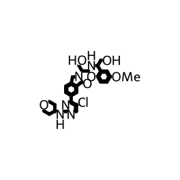 COc1cccc(C(CO)NC(=O)C(CO)N2Cc3ccc(-c4nc(NC5CCOCC5)ncc4Cl)cc3C2=O)c1